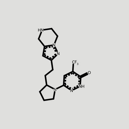 O=c1[nH]nc(N2CCCC2CCc2cc3n(n2)CCNC3)cc1C(F)(F)F